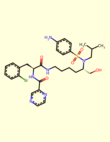 CC(C)CN([C@H](CO)CCCCNC(=O)[C@H](Cc1ccccc1Br)NC(=O)c1cnccn1)S(=O)(=O)c1ccc(N)cc1